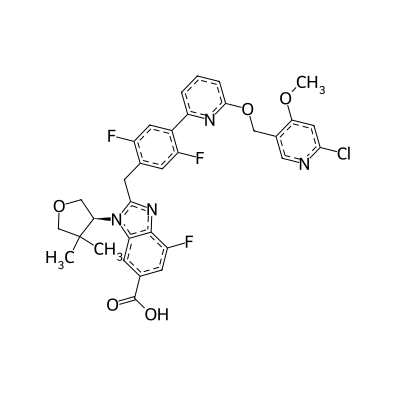 COc1cc(Cl)ncc1COc1cccc(-c2cc(F)c(Cc3nc4c(F)cc(C(=O)O)cc4n3[C@@H]3COCC3(C)C)cc2F)n1